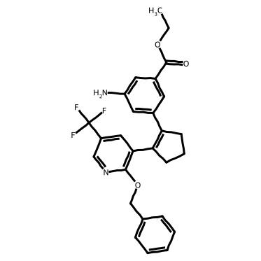 CCOC(=O)c1cc(N)cc(C2=C(c3cc(C(F)(F)F)cnc3OCc3ccccc3)CCC2)c1